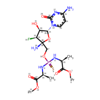 CC(C)OC(=O)[C@H](C)NP(=S)(N[C@@H](C)C(=O)OC(C)C)OC[C@@]1(N)O[C@@H](n2ccc(N)nc2=O)[C@H](O)[C@@H]1F